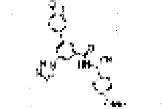 COc1ccc([C@@H](C)NC(=O)c2cc(-c3ccc(C)cc3)cc(-n3cnnn3)c2)cc1